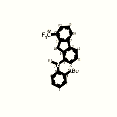 CC(C)(C)c1ccccc1N(I)c1cccc2c1Cc1c-2cccc1C(F)(F)F